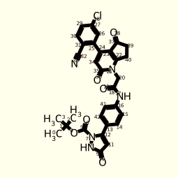 CC(C)(C)OC(=O)n1[nH]c(=O)cc1-c1ccc(NC(=O)Cn2c3c(c(-c4cc(Cl)ccc4C#N)cc2=O)C(=O)CC3)cc1